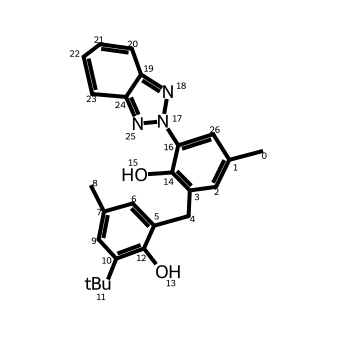 Cc1cc(Cc2cc(C)cc(C(C)(C)C)c2O)c(O)c(-n2nc3ccccc3n2)c1